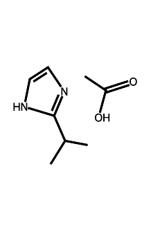 CC(=O)O.CC(C)c1ncc[nH]1